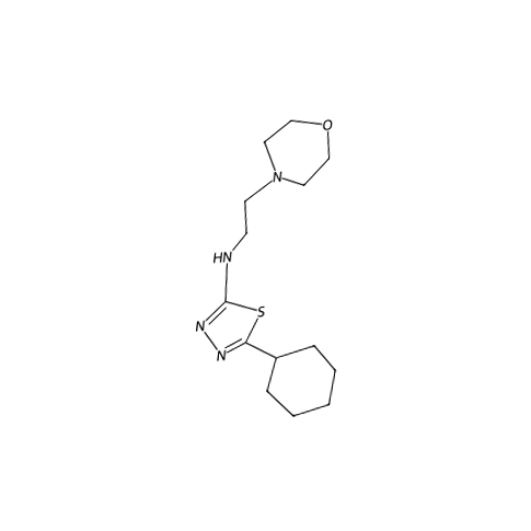 C1CCC(c2nnc(NCCN3CCOCC3)s2)CC1